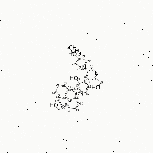 C.C.CO.OCc1ccccn1.Oc1cccnc1.Oc1ccncc1.c1cc2ccc3cccc4ccc(c1)c2c34